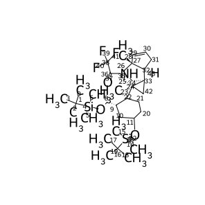 CC(C)(C)[Si](C)(C)OC[C@H]1CC(O[Si](C)(C)C(C)(C)C)CC[C@]1(C)[C@@]12CC[C@]3(C)C=CC[C@H]3[C@@]1(CNC(=O)C(F)(F)F)C2